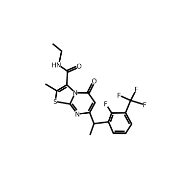 CCNC(=O)c1c(C)sc2nc(C(C)c3cccc(C(F)(F)F)c3F)cc(=O)n12